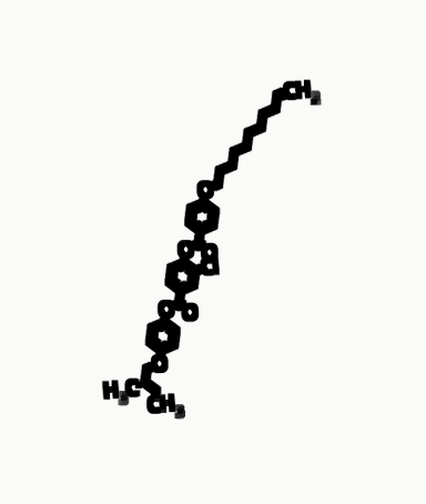 C=CCCCCCCCCCOc1ccc(C(=O)Oc2ccc(C(=O)Oc3ccc(OC[C@@H](C)CC)cc3)cc2Cl)cc1